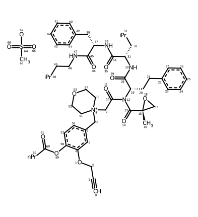 C#CCOc1cc(C[N+]2(CC(=O)N(C(=O)[C@@]3(C)CO3)[C@@H](CCc3ccccc3)C(=O)N[C@@H](CC(C)C)C(=O)N[C@@H](Cc3ccccc3)C(=O)NCCC(C)C)CCOCC2)ccc1OC(=O)CCC.CS(=O)(=O)[O-]